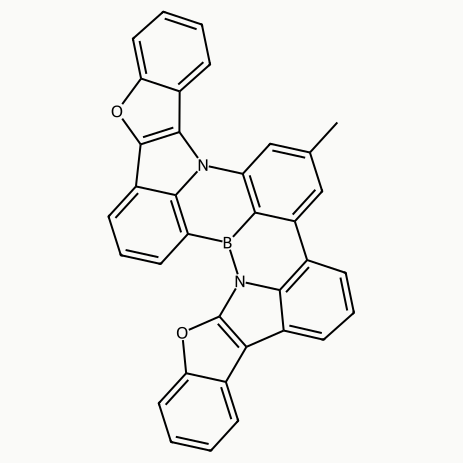 Cc1cc2c3c(c1)-n1c4c(cccc4c4oc5ccccc5c41)B3n1c3oc4ccccc4c3c3cccc-2c31